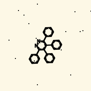 c1ccc(-c2nnc(-c3ccccc3)c(-c3ccccc3)c2-c2ccccc2)cc1